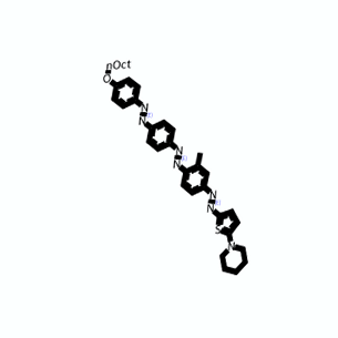 CCCCCCCCOc1ccc(/N=N/c2ccc(/N=N/c3ccc(/N=N/c4ccc(N5CCCCC5)s4)cc3C)cc2)cc1